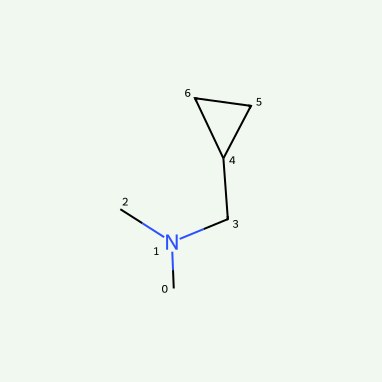 CN(C)CC1CC1